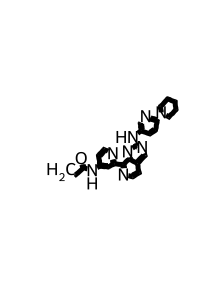 C=CC(=O)Nc1ccnc(-c2nccc3cnc(Nc4ccc(N5CCCCC5)nc4)nc23)c1